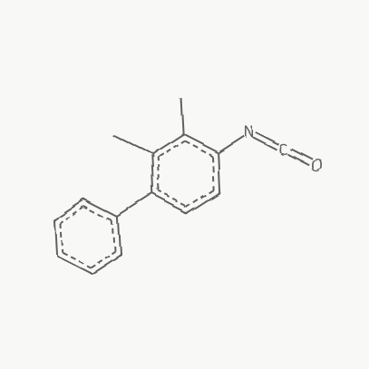 Cc1c(N=C=O)ccc(-c2ccccc2)c1C